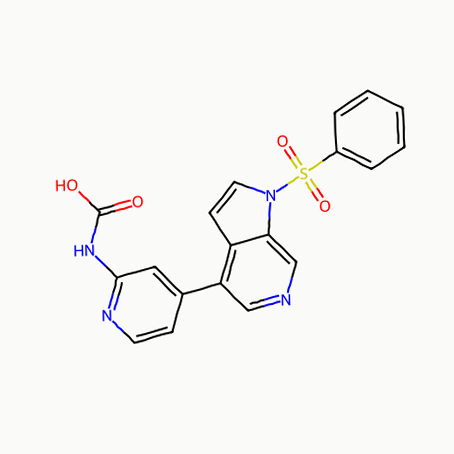 O=C(O)Nc1cc(-c2cncc3c2ccn3S(=O)(=O)c2ccccc2)ccn1